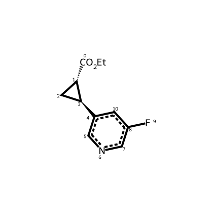 CCOC(=O)[C@H]1C[C@@H]1c1cncc(F)c1